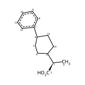 C[C@@H](C(=O)O)C1CCC(c2ccccc2)CC1